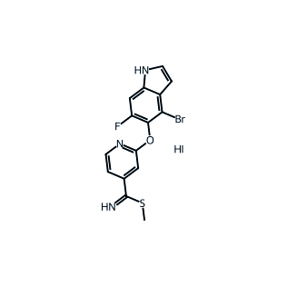 CSC(=N)c1ccnc(Oc2c(F)cc3[nH]ccc3c2Br)c1.I